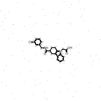 O=C(O)Cn1c2c(c3ccccc31)CC(C(=O)NCc1cccc(Cl)c1)CC2